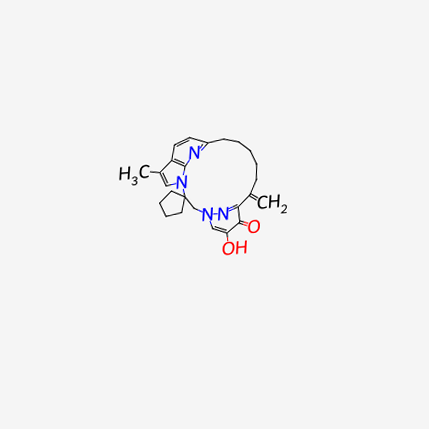 C=C1CCCCCc2ccc3c(C)cn(c3n2)C2(CCCC2)Cn2cc(O)c(=O)c1n2